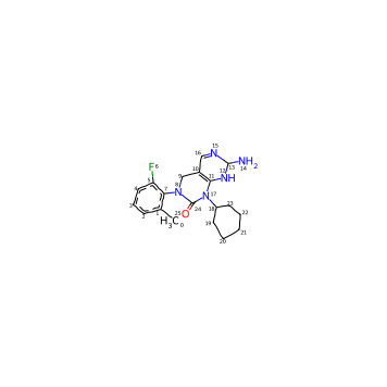 Cc1cccc(F)c1N1CC2=C(NC(N)N=C2)N(C2CCCCC2)C1=O